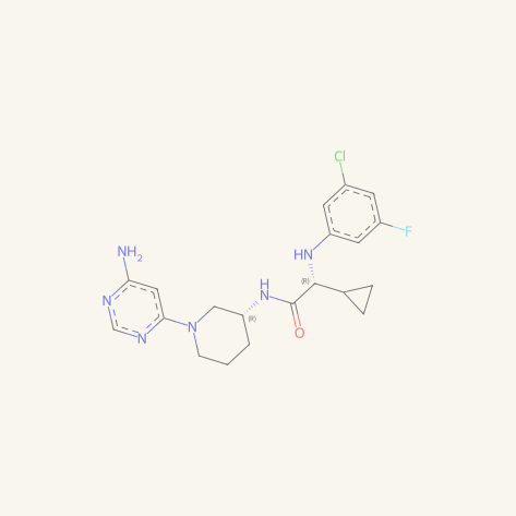 Nc1cc(N2CCC[C@@H](NC(=O)[C@H](Nc3cc(F)cc(Cl)c3)C3CC3)C2)ncn1